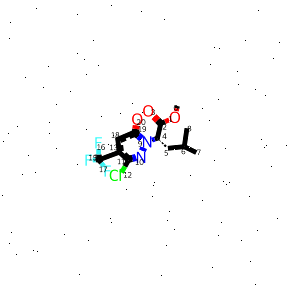 COC(=O)[C@H](CC(C)C)n1nc(Cl)c(C(F)(F)F)cc1=O